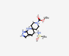 CC(C)(C)OC(=O)N1CCC2(CC1)NC1=NN=CC1=C[C@H]2N[S@+]([O-])C(C)(C)C